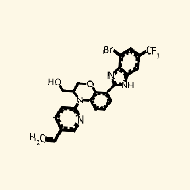 C=Cc1ccc(N2c3cccc(-c4nc5c(Br)cc(C(F)(F)F)cc5[nH]4)c3OCC2CO)nc1